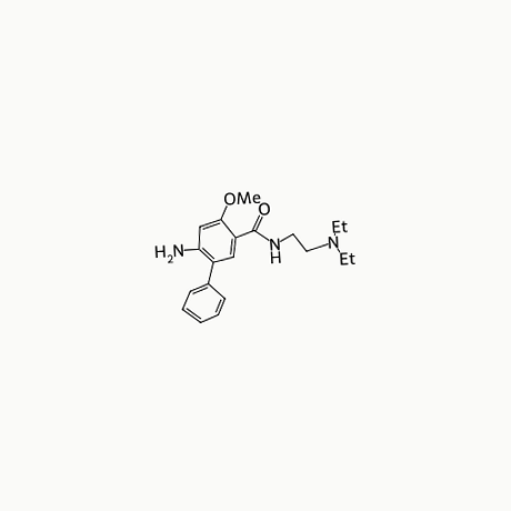 CCN(CC)CCNC(=O)c1cc(-c2ccccc2)c(N)cc1OC